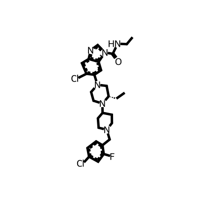 CCNC(=O)n1cnc2cc(Cl)c(N3CCN(C4CCN(Cc5ccc(Cl)cc5F)CC4)[C@@H](CC)C3)cc21